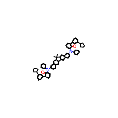 CC1(C)c2cc3cc(N(c4ccccc4)c4cccc5c4oc4c(C6CCCC6)cccc45)ccc3cc2-c2cc3ccc(N(c4ccccc4)c4cccc5c4oc4c(C6CCCC6)cccc45)cc3cc21